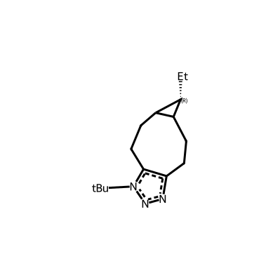 CC[C@@H]1C2CCc3nnn(C(C)(C)C)c3CCC21